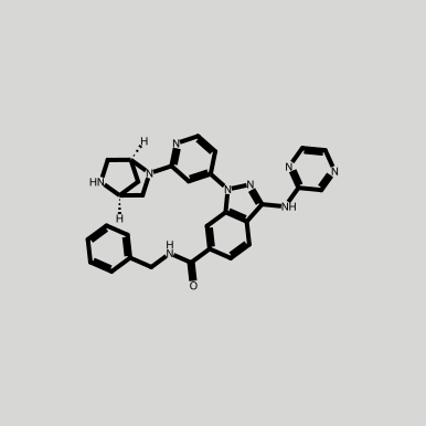 O=C(NCc1ccccc1)c1ccc2c(Nc3cnccn3)nn(-c3ccnc(N4C[C@@H]5C[C@H]4CN5)c3)c2c1